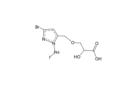 O=C(O)C(O)COCc1cc(Br)nn1PI